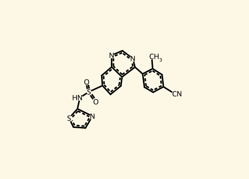 Cc1cc(C#N)ccc1-c1ncnc2cc(S(=O)(=O)Nc3nccs3)ccc12